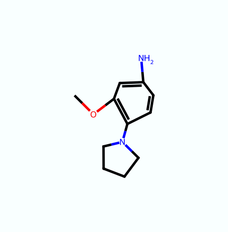 COc1cc(N)ccc1N1CCCC1